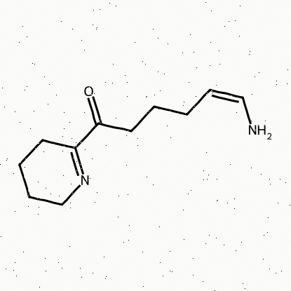 N/C=C\CCCC(=O)C1=NCCCC1